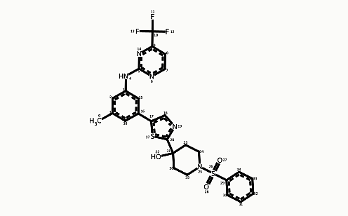 Cc1cc(Nc2nccc(C(F)(F)F)n2)cc(-c2cnc(C3(O)CCN(S(=O)(=O)c4ccccc4)CC3)s2)c1